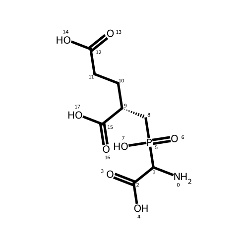 NC(C(=O)O)P(=O)(O)C[C@@H](CCC(=O)O)C(=O)O